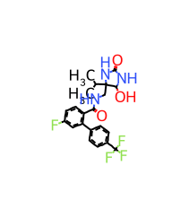 CC(C)C1(CNC(=O)c2ccc(F)cc2-c2ccc(C(F)(F)F)cc2)NC(=O)NC1O